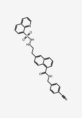 N#Cc1ccc(CNC(=O)c2cccc3cc(CCNNS(=O)(=O)c4cccc5cccnc45)ccc23)cc1